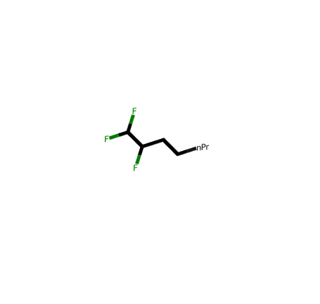 CCCCCC(F)[C](F)F